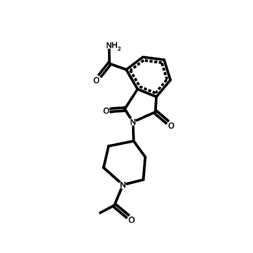 CC(=O)N1CCC(N2C(=O)c3cccc(C(N)=O)c3C2=O)CC1